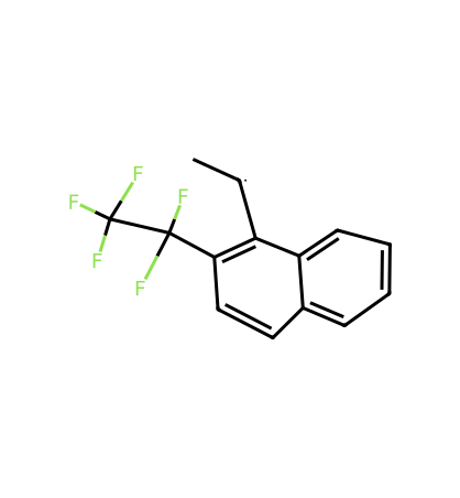 C[CH]c1c(C(F)(F)C(F)(F)F)ccc2ccccc12